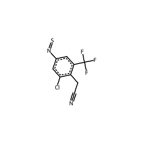 N#CCc1c(Cl)cc(N=S)cc1C(F)(F)F